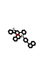 c1ccc(N(c2ccc(-c3cccc4ccccc34)cc2)c2ccc3ccccc3c2)c(-c2ccc3c(c2)sc2ccccc23)c1